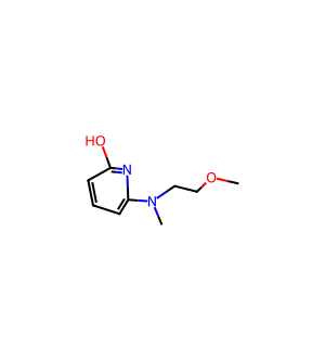 COCCN(C)c1cccc(O)n1